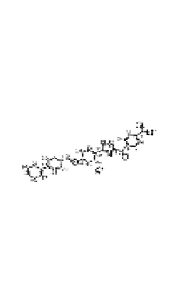 O=C([O-])c1ccc(C(=O)c2nc(-c3ccc(OCc4ccc(C5CCCCC5)cc4)cc3)cs2)cc1.[K+]